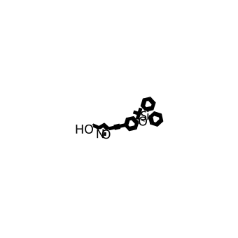 CC(C)(C)[Si](Oc1ccc(C#Cc2cc(CO)no2)cc1)(c1ccccc1)c1ccccc1